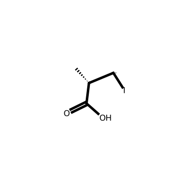 C[C@H]([CH]I)C(=O)O